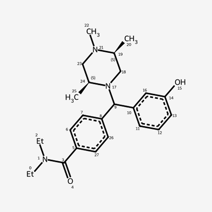 CCN(CC)C(=O)c1ccc(C(c2cccc(O)c2)N2C[C@H](C)N(C)C[C@@H]2C)cc1